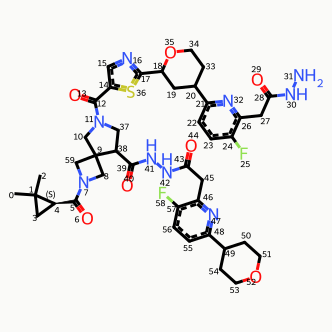 CC1(C)C[C@@H]1C(=O)N1CC2(CN(C(=O)c3cnc(C4CC(c5ccc(F)c(CC(=O)NN)n5)CCO4)s3)CC2C(=O)NNC(=O)Cc2nc(C3CCOCC3)ccc2F)C1